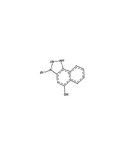 CC(C)N1NNc2c1cc(O)c1ccccc21